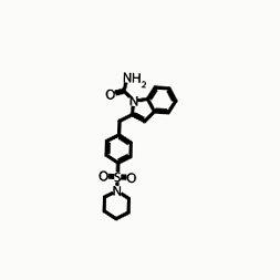 NC(=O)n1c(Cc2ccc(S(=O)(=O)N3CCCCC3)cc2)cc2ccccc21